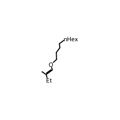 CCCCCCCCCCO/C=C(\C)CC